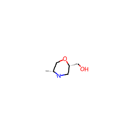 C[C@@H]1CO[C@H](CO)C[N]1